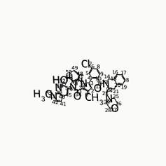 Cc1cc(-c2cc(Cl)ccc2C(=O)N2Cc3ccccc3C[C@H]2CN2CCOCC2)n(C)c1C(=O)N(c1cnc2c(ccn2C)c1)c1ccccc1O